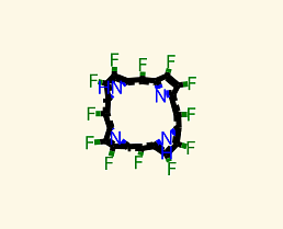 FC1=C(F)c2nc1c(F)c1[nH]c(c(F)c3nc(c(F)c4[nH]c(c2F)c(F)c4F)C(F)=C3F)c(F)c1F